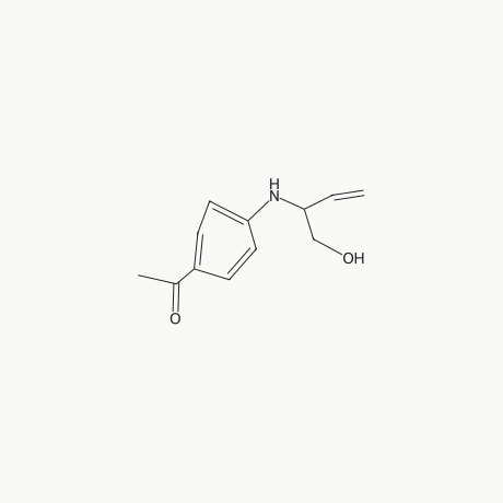 C=CC(CO)Nc1ccc(C(C)=O)cc1